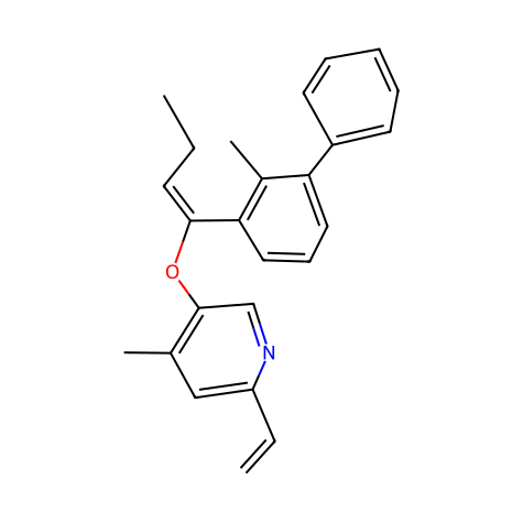 C=Cc1cc(C)c(O/C(=C/CC)c2cccc(-c3ccccc3)c2C)cn1